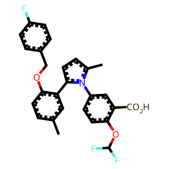 Cc1ccc(OCc2ccc(F)cc2)c(-c2ccc(C)n2-c2ccc(OC(F)F)c(C(=O)O)c2)c1